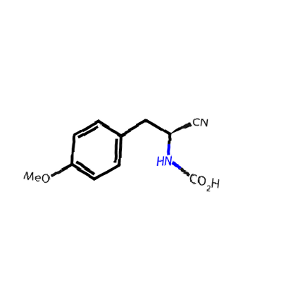 COc1ccc(C[C@@H](C#N)NC(=O)O)cc1